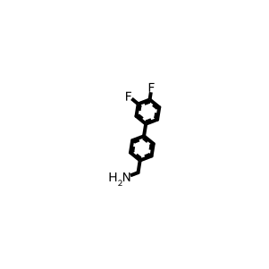 NCc1ccc(-c2ccc(F)c(F)c2)cc1